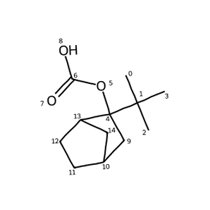 CC(C)(C)C1(OC(=O)O)CC2CCC1C2